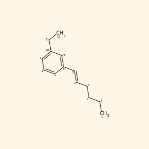 CCCCC=Cc1cccc(CC)c1